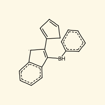 B(C1=C(C2=CC=CC2)[CH]c2ccccc21)c1ccccc1